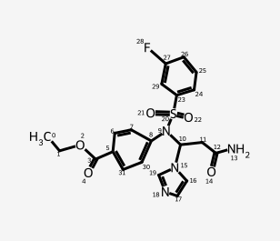 CCOC(=O)c1ccc(N(C(CC(N)=O)n2ccnc2)S(=O)(=O)c2cccc(F)c2)cc1